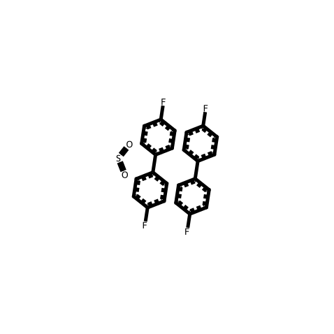 Fc1ccc(-c2ccc(F)cc2)cc1.Fc1ccc(-c2ccc(F)cc2)cc1.O=S=O